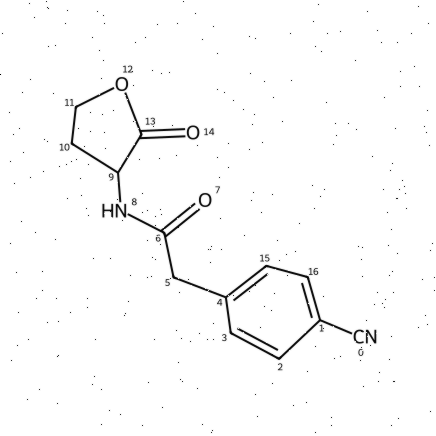 N#Cc1ccc(CC(=O)NC2CCOC2=O)cc1